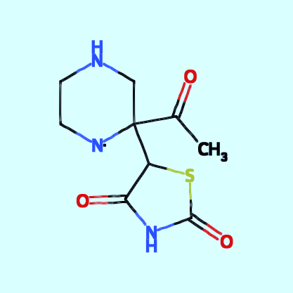 CC(=O)C1(C2SC(=O)NC2=O)CNCC[N]1